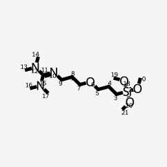 CO[Si](CCCOC[CH]CN=C(N(C)C)N(C)C)(OC)OC